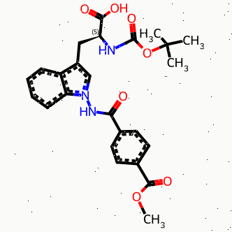 COC(=O)c1ccc(C(=O)Nn2cc(C[C@H](NC(=O)OC(C)(C)C)C(=O)O)c3ccccc32)cc1